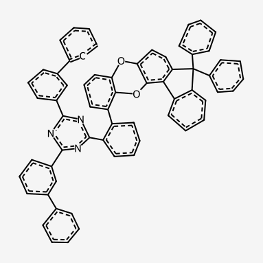 c1ccc(-c2cccc(-c3nc(-c4cccc(-c5ccccc5)c4)nc(-c4ccccc4-c4cccc5c4Oc4c(ccc6c4-c4ccccc4C6(c4ccccc4)c4ccccc4)O5)n3)c2)cc1